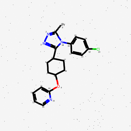 CC(C)c1nnc(C2CCC(Oc3ccccn3)CC2)n1-c1ccc(Cl)cc1